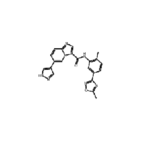 Cc1nc(-c2ccc(C)c(NC(=O)c3cnc4ccc(-c5cn[nH]c5)cn34)c2)no1